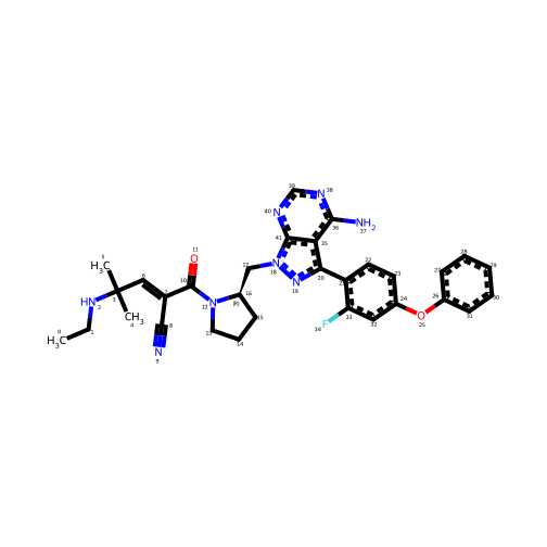 CCNC(C)(C)C=C(C#N)C(=O)N1CCC[C@@H]1Cn1nc(-c2ccc(Oc3ccccc3)cc2F)c2c(N)ncnc21